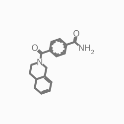 NC(=O)c1ccc(C(=O)N2CCC3CC=CC=C3C2)cc1